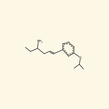 CCC(N)CC=Cc1cncc(OC(C)C)c1